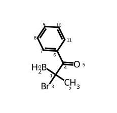 BC(C)(Br)C(=O)c1ccccc1